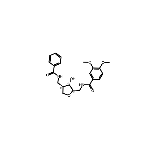 COc1ccc(C(=O)NC[C@H]2OC[C@@H](CNC(=O)c3ccccc3)[C@@H]2O)cc1OC